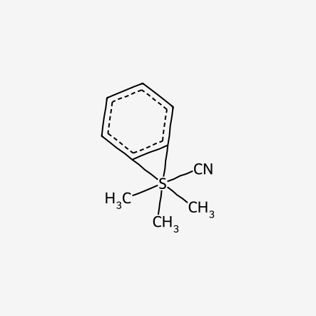 CS1(C)(C)(C#N)c2ccccc21